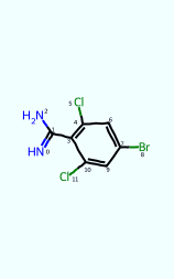 N=C(N)c1c(Cl)cc(Br)cc1Cl